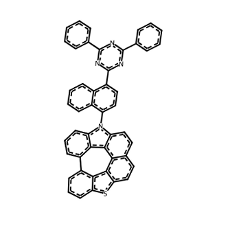 c1ccc(-c2nc(-c3ccccc3)nc(-c3ccc(-n4c5cccc6c5c5c7c(ccc8sc9cccc-6c9c87)ccc54)c4ccccc34)n2)cc1